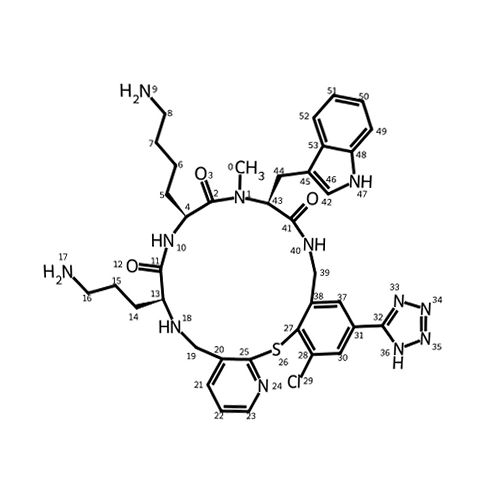 CN1C(=O)[C@H](CCCCN)NC(=O)[C@H](CCCN)NCc2cccnc2Sc2c(Cl)cc(-c3nnn[nH]3)cc2CNC(=O)[C@@H]1Cc1c[nH]c2ccccc12